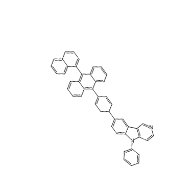 C1=CC(c2ccc3c(c2)c2cnccc2n3-c2ccccc2)CC=C1c1c2ccccc2c(-c2cccc3ccccc23)c2ccccc12